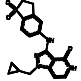 O=c1[nH]ccc2c1c(Nc1ccc3c(c1)CCS3(=O)=O)nn2CC1CC1